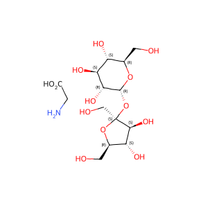 NCC(=O)O.OC[C@H]1O[C@@](CO)(O[C@H]2O[C@H](CO)[C@@H](O)[C@H](O)[C@H]2O)[C@@H](O)[C@@H]1O